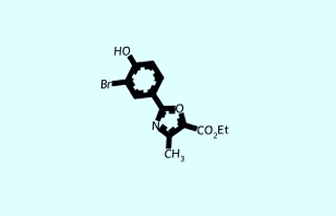 CCOC(=O)c1oc(-c2ccc(O)c(Br)c2)nc1C